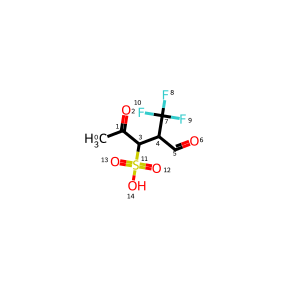 CC(=O)C(C(C=O)C(F)(F)F)S(=O)(=O)O